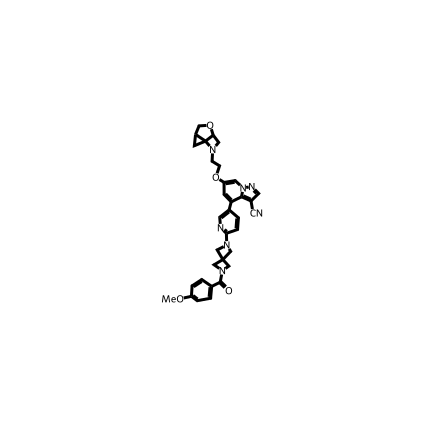 COc1ccc(C(=O)N2CC3(C2)CN(c2ccc(-c4cc(OCCN5CC6OCC7CC765)cn5ncc(C#N)c45)cn2)C3)cc1